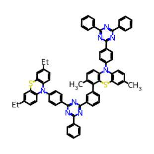 CCc1ccc2c(c1)Sc1cc(CC)ccc1N2c1ccc(-c2nc(-c3ccccc3)nc(-c3cccc(-c4c(C)ccc5c4Sc4cc(C)ccc4N5c4ccc(-c5nc(-c6ccccc6)nc(-c6ccccc6)n5)cc4)c3)n2)cc1